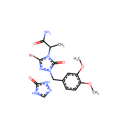 COc1ccc(Cn2nc(Br)n(C(C)C(N)=O)c2=O)cc1OC.O=c1[nH]cn[nH]1